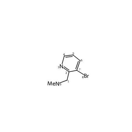 CNCc1ncccc1Br